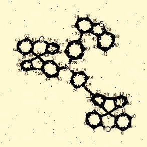 c1ccc2c(c1)Oc1ccccc1C21c2ccccc2-c2cc(-c3ccc(N(c4ccc(-c5cccc6sc7ccccc7c56)cc4)c4ccc5c(c4)C4(c6ccccc6Oc6ccccc64)c4ccccc4-5)cc3)ccc21